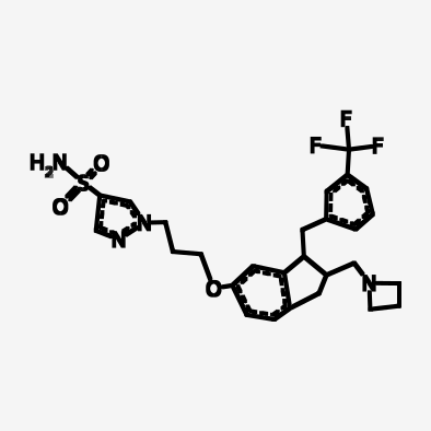 NS(=O)(=O)c1cnn(CCCOc2ccc3c(c2)C(Cc2cccc(C(F)(F)F)c2)C(CN2CCC2)C3)c1